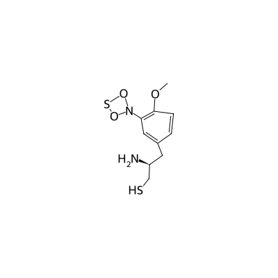 COc1ccc(C[C@H](N)CS)cc1N1OSO1